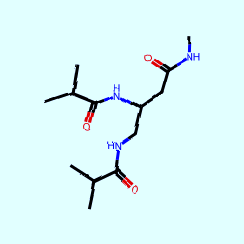 CNC(=O)CC(CNC(=O)C(C)C)NC(=O)C(C)C